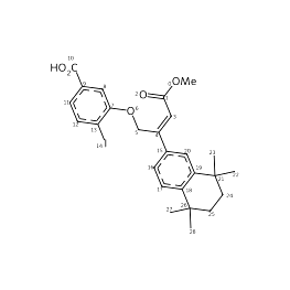 COC(=O)C=C(COc1cc(C(=O)O)ccc1I)c1ccc2c(c1)C(C)(C)CCC2(C)C